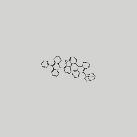 C1=Cc2c(c(-c3ccccc3)c3ccccc3c2-c2cccc3c2sc2cccc(-c4c5ccccc5c(C5C6CC7CC(C6)CC5C7)c5ccccc45)c23)CC1